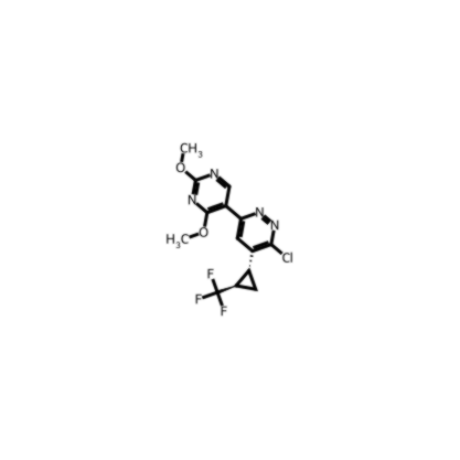 COc1ncc(-c2cc([C@@H]3C[C@H]3C(F)(F)F)c(Cl)nn2)c(OC)n1